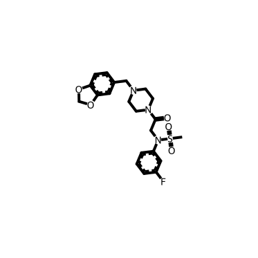 CS(=O)(=O)N(CC(=O)N1CCN(Cc2ccc3c(c2)OCO3)CC1)c1cccc(F)c1